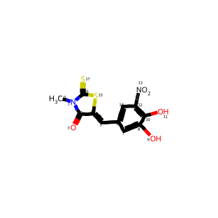 CN1C(=O)C(=Cc2cc(O)c(O)c([N+](=O)[O-])c2)SC1=S